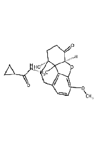 COc1ccc2c3c1O[C@@H]1C(=O)CC[C@](O)([C@@H](NC(=O)C4CC4)C2)C31C